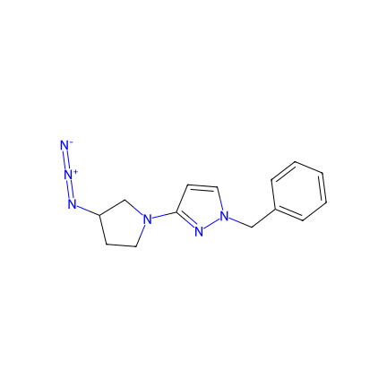 [N-]=[N+]=NC1CCN(c2ccn(Cc3ccccc3)n2)C1